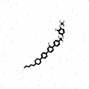 CCCCCC1CCC(c2ccc(-c3ccc(-c4ccc(C(F)(F)Oc5ccc(OC(F)(F)F)c(F)c5)cc4)c(F)c3)cc2)CC1